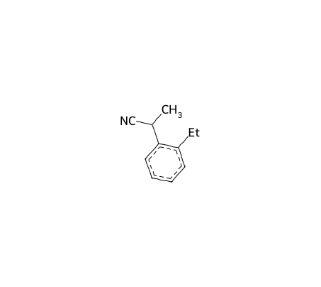 CCc1ccccc1C(C)C#N